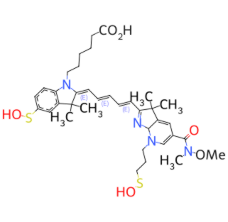 CON(C)C(=O)C1=CN(CCCSO)C2N=C(/C=C/C=C/C=C3/N(CCCCCC(=O)O)c4ccc(SO)cc4C3(C)C)C(C)(C)C2=C1